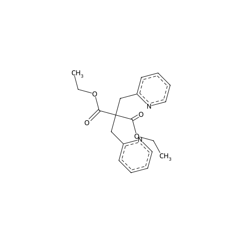 CCOC(=O)C(Cc1ccccn1)(Cc1ccccn1)C(=O)OCC